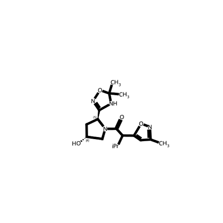 Cc1cc(C(C(=O)N2C[C@H](O)C[C@H]2C2=NOC(C)(C)N2)C(C)C)on1